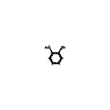 CCC(C)c1ccccc1OC(C)=O